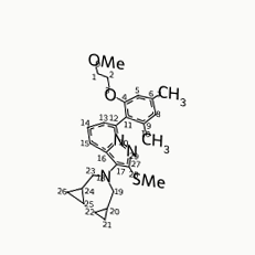 COCCOc1cc(C)cc(C)c1-c1cccc2c(N(CC3CC3)CC3CC3)c(SC)nn12